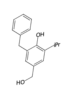 CC(C)c1cc(CO)cc(Cc2ccccc2)c1O